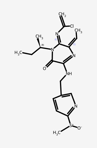 C=C(Cl)/N=C1\C(=C/C)N=C(NCc2ccc([S+](C)[O-])nc2)C(=O)N1[C@H](C)CC